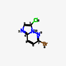 Clc1cnc2ccc(Br)nn12